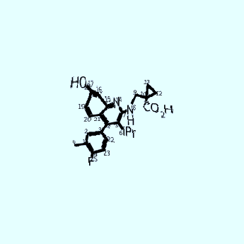 Cc1cc(-c2c(C(C)C)c(NCC3(C(=O)O)CC3)nc3cc(O)ccc23)ccc1F